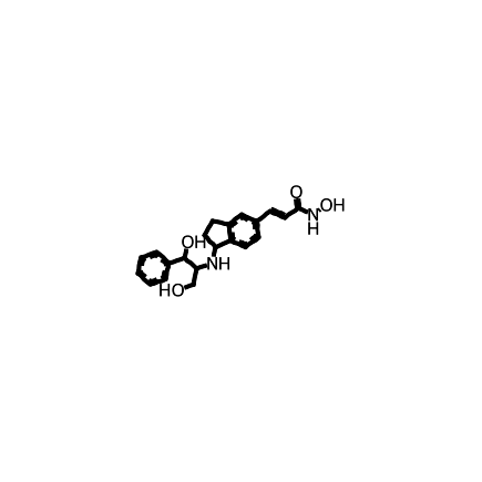 O=C(C=Cc1ccc2c(c1)CCC2NC(CO)C(O)c1ccccc1)NO